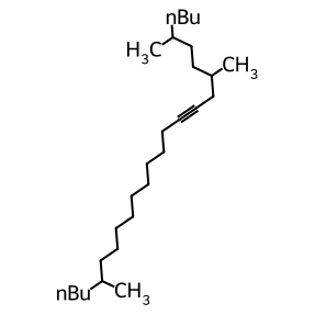 [CH2]CCCC(C)CCCCCCCCCC#CCC(C)CCC(C)CCC[CH2]